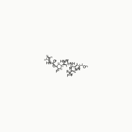 COCc1cc2c(Nc3cc([C@H]4C[C@@H](F)[C@@H](OC(=O)NC56CC(C5)C6)C4)[nH]n3)nc(C(F)(F)F)cn2n1